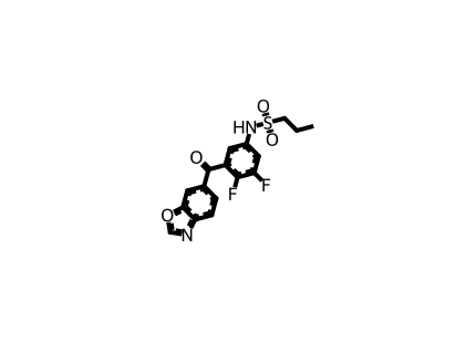 CCCS(=O)(=O)Nc1cc(F)c(F)c(C(=O)c2ccc3ncoc3c2)c1